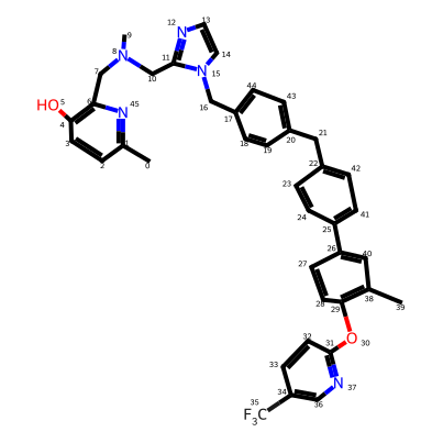 Cc1ccc(O)c(CN(C)Cc2nccn2Cc2ccc(Cc3ccc(-c4ccc(Oc5ccc(C(F)(F)F)cn5)c(C)c4)cc3)cc2)n1